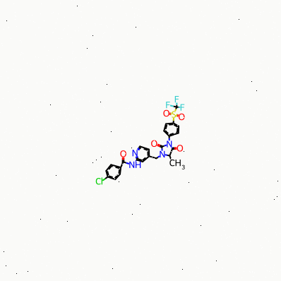 CC1C(=O)N(c2ccc(S(=O)(=O)C(F)(F)F)cc2)C(=O)N1Cc1ccnc(NC(=O)c2ccc(Cl)cc2)c1